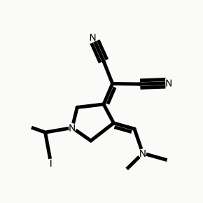 CC(I)N1CC(=CN(C)C)C(=C(C#N)C#N)C1